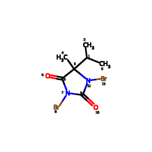 CC(C)C1(C)C(=O)N(Br)C(=O)N1Br